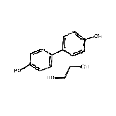 OCCO.Oc1ccc(-c2ccc(O)cc2)cc1